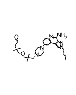 CCCCn1cc2c(n1)c(N)nc1ccc(N3CCN(CC(C)(C)COCC(C)(C)CC=O)CC3)cc12